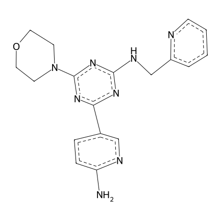 Nc1ccc(-c2nc(NCc3ccccn3)nc(N3CCOCC3)n2)cn1